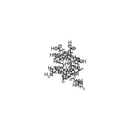 CC[C@H](C)[C@H](NC(=O)[C@@H](N)CC(N)=O)C(=O)N[C@@H](CC(C)C)C(=O)N[C@@H](CCCNC(=N)N)C(=O)N[C@@H](CC(C)C)C(=O)N[C@@H](CCC(=O)O)C(=O)N[C@@H](CO)C(=O)N[C@@H](CCC(=O)O)C(=O)N[C@@H](CCC(=O)O)C(=O)N[C@H](C(=O)O)[C@@H](C)O